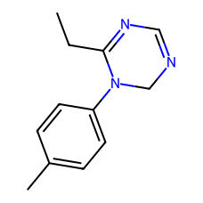 CCC1=NC=NCN1c1ccc(C)cc1